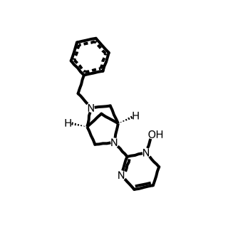 ON1CC=CN=C1N1C[C@@H]2C[C@H]1CN2Cc1ccccc1